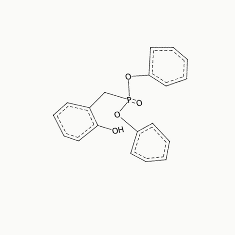 O=P(Cc1ccccc1O)(Oc1ccccc1)Oc1ccccc1